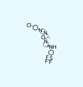 CC(CN1CCN(c2ccc(Cl)cc2)CC1)C(=O)N1CCC[C@H](Nc2ccc(SC(F)(F)F)cc2)C1